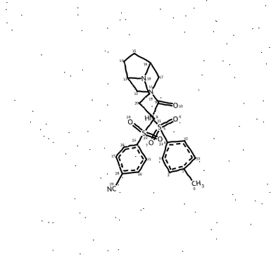 Cc1ccc(S(=O)(=O)NC(=O)N2CC3CCC(C2)N3CCCS(=O)(=O)c2ccc(C#N)cc2)cc1